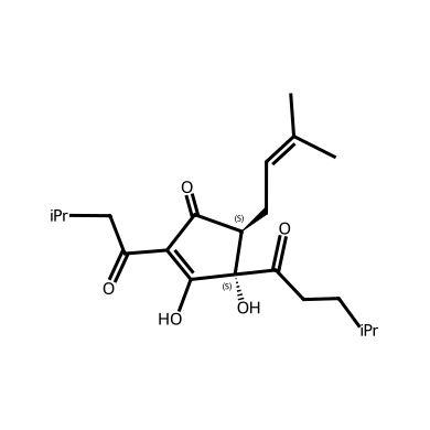 CC(C)=CC[C@@H]1C(=O)C(C(=O)CC(C)C)=C(O)[C@]1(O)C(=O)CCC(C)C